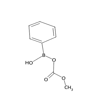 COC(=O)OB(O)c1ccccc1